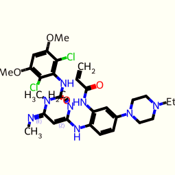 C=CC(=O)Nc1cc(N2CCN(CC)CC2)ccc1N/C(=C/C(=N\C)N(C)C(=O)Nc1c(Cl)c(OC)cc(OC)c1Cl)N=C